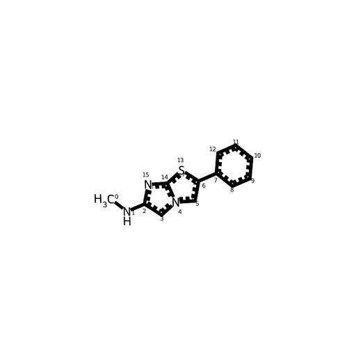 CNc1cn2cc(-c3ccccc3)sc2n1